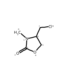 CN1C(=O)OCC1CCl